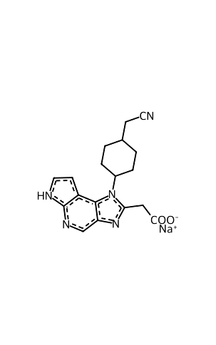 N#CCC1CCC(n2c(CC(=O)[O-])nc3cnc4[nH]ccc4c32)CC1.[Na+]